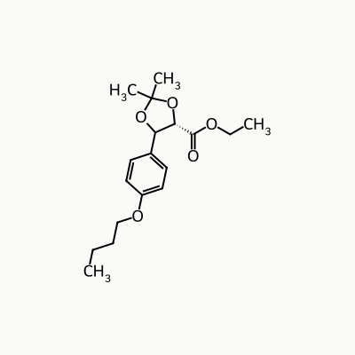 CCCCOc1ccc(C2OC(C)(C)O[C@@H]2C(=O)OCC)cc1